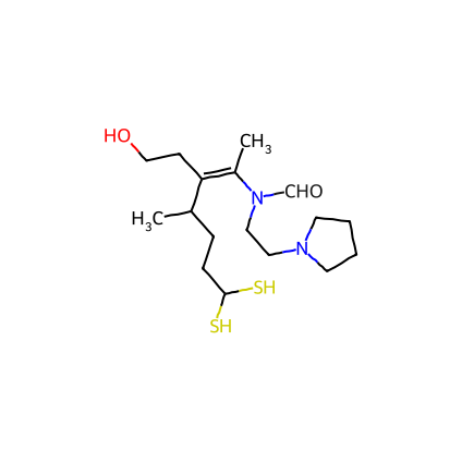 CC(=C(CCO)C(C)CCC(S)S)N(C=O)CCN1CCCC1